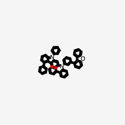 c1ccc(-c2ccccc2N(c2cccc(-c3cccc4oc5ccccc5c34)c2)c2ccc3c4c(-c5ccccc5)cccc4n(-c4ccccc4)c3c2)cc1